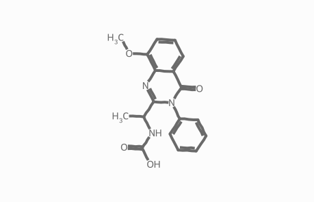 COc1cccc2c(=O)n(-c3ccccc3)c(C(C)NC(=O)O)nc12